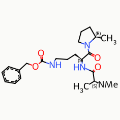 CN[C@@H](C)C(=O)N[C@@H](CCCNC(=O)OCc1ccccc1)C(=O)N1CCC[C@H]1C